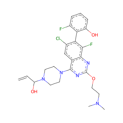 C=CC(O)N1CCN(c2nc(OCCN(C)C)nc3c(F)c(-c4c(O)cccc4F)c(Cl)cc23)CC1